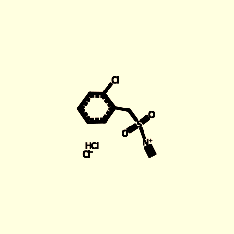 C#[N+]S(=O)(=O)Cc1ccccc1Cl.Cl.[Cl-]